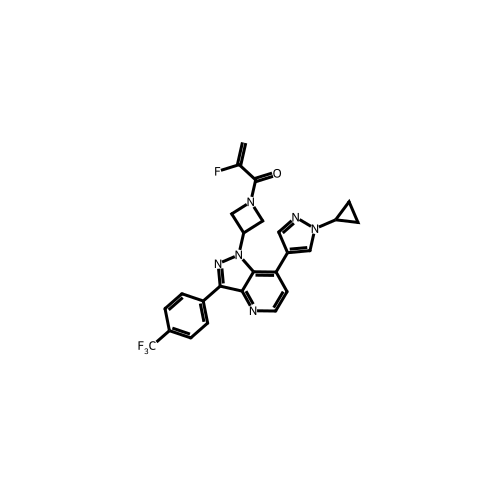 C=C(F)C(=O)N1CC(n2nc(-c3ccc(C(F)(F)F)cc3)c3nccc(-c4cnn(C5CC5)c4)c32)C1